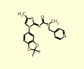 Cc1cn(-c2ccc3c(c2)OC(F)(F)O3)c(=NC(=O)N(C)Cc2ccncc2)s1